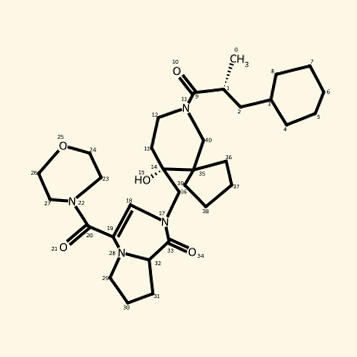 C[C@H](CC1CCCCC1)C(=O)N1CC[C@](O)(CN2C=C(C(=O)N3CCOCC3)N3CCCC3C2=O)C2(CCCC2)C1